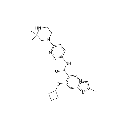 Cc1cn2cc(C(=O)Nc3ccc(N4CCNC(C)(C)C4)nn3)c(OC3CCC3)cc2n1